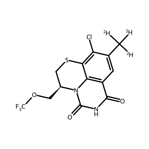 [2H]C([2H])([2H])c1cc2c(=O)[nH]c(=O)n3c2c(c1Cl)SC[C@@H]3COC(F)(F)F